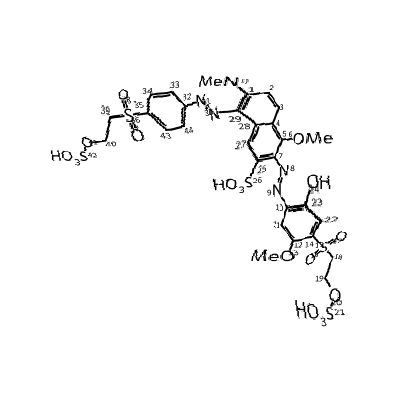 CNc1ccc2c(OC)c(/N=N/c3cc(OC)c(S(=O)(=O)CCOS(=O)(=O)O)cc3O)c(S(=O)(=O)O)cc2c1/N=N/c1ccc(S(=O)(=O)CCOS(=O)(=O)O)cc1